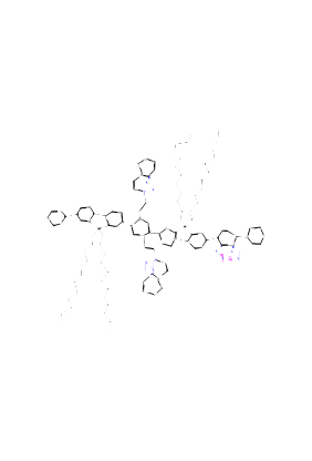 CCCCCCCCCCCCC1(CCCCCCCCCCCC)c2cc(-c3ccccc3)ccc2-c2ccc(-c3cc(/C=C/c4ccc5ccccc5n4)c(-c4ccc5c(c4)C(CCCCCCCCCCCC)(CCCCCCCCCCCC)c4cc(-c6ccc(-c7ccccc7)c7nonc67)ccc4-5)cc3/C=C/c3ccc4ccccc4n3)cc21